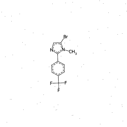 Cn1c(Br)cnc1-c1ccc(C(F)(F)F)cc1